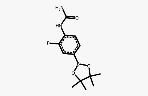 CC1(C)OB(c2ccc(NC(N)=O)c(F)c2)OC1(C)C